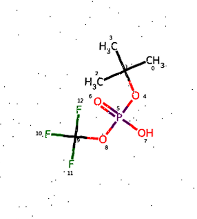 CC(C)(C)OP(=O)(O)OC(F)(F)F